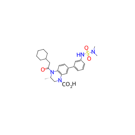 C[C@H]1CN(C(=O)O)c2cc(-c3cccc(NS(=O)(=O)N(C)C)c3)ccc2N1C(=O)CC1CCCCC1